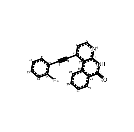 O=c1[nH]c2nccc(C#Cc3ccccc3F)c2c2ccccc12